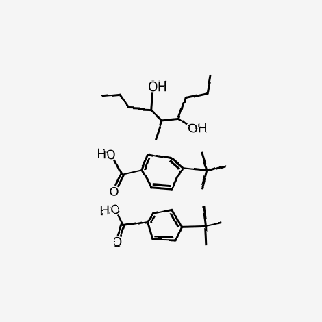 CC(C)(C)c1ccc(C(=O)O)cc1.CC(C)(C)c1ccc(C(=O)O)cc1.CCCC(O)C(C)C(O)CCC